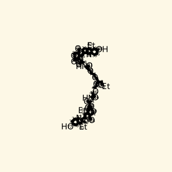 CCOCC(COCCOCC(=O)NCC(=O)O[C@]1(CC)C(=O)OCc2c1cc1n(c2=O)Cc2c-1nc1ccc(O)cc1c2CC)OCCOCC(=O)NCC(=O)CO[C@]1(CC)C(=O)OCc2c1cc1n(c2=O)Cc2c-1nc1ccc(O)cc1c2CC